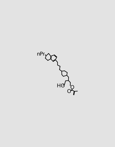 C=C(C)C(=O)OCCC(CCO)CC1CCC(CCCCc2ccc3c(c2)CCC(CCC)C3)CC1